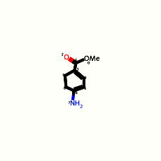 COC(=O)C1=CC=C(N)CC1